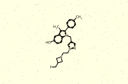 Cc1ccc(-c2c(C)c3cc(O)ccc3n2Cc2cnn(CCN3CC(CF)C3)c2)cc1